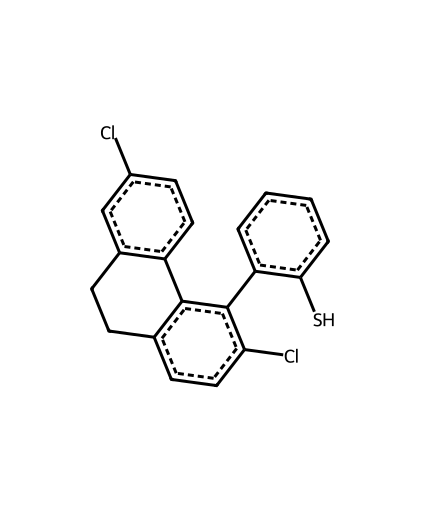 Sc1ccccc1-c1c(Cl)ccc2c1-c1ccc(Cl)cc1CC2